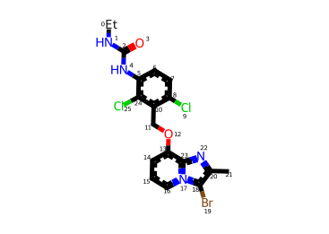 CCNC(=O)Nc1ccc(Cl)c(COc2cccn3c(Br)c(C)nc23)c1Cl